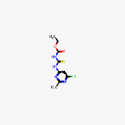 CCOC(=O)NC(=S)Nc1cc(Cl)nc(C)n1